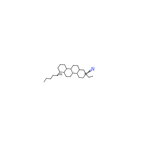 CCCCC[C@H]1CCCC2C3CCC4C[C@](C#N)(CC)CCC4C3CCC21